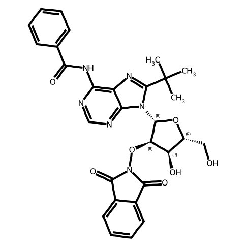 CC(C)(C)c1nc2c(NC(=O)c3ccccc3)ncnc2n1[C@@H]1O[C@H](CO)[C@@H](O)[C@H]1ON1C(=O)c2ccccc2C1=O